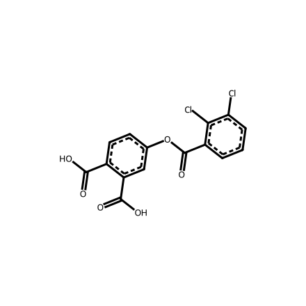 O=C(O)c1ccc(OC(=O)c2cccc(Cl)c2Cl)cc1C(=O)O